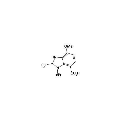 CCCN1c2c(C(=O)O)ccc(OC)c2NC1C(F)(F)F